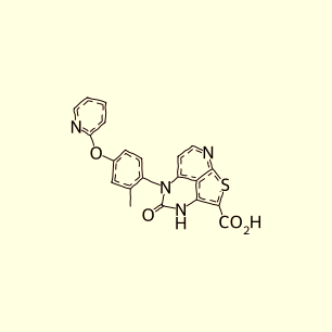 Cc1cc(Oc2ccccn2)ccc1N1C(=O)Nc2c(C(=O)O)sc3nccc1c23